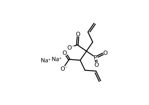 C=CCC(C(=O)[O-])C(CC=C)(C(=O)[O-])P(=O)=O.[Na+].[Na+]